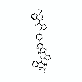 COO/C=N\[C@@H](C(=O)N1CCC[C@H]1Cc1ccc(-c2cnc3[nH]c(C4CCCN4C(=O)C(NC(=O)OC)c4ccccc4)nc3c2)cc1)c1ccccc1